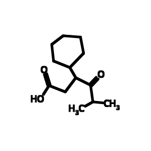 CC(C)C(=O)C(CC(=O)O)C1CCCCC1